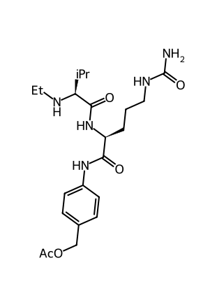 CCN[C@H](C(=O)N[C@@H](CCCNC(N)=O)C(=O)Nc1ccc(COC(C)=O)cc1)C(C)C